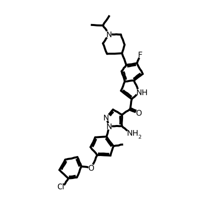 Cc1cc(Oc2cccc(Cl)c2)ccc1-n1ncc(C(=O)c2cc3cc(C4CCN(C(C)C)CC4)c(F)cc3[nH]2)c1N